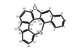 c1ccc2c(c1)cc1oc3ccc4sc5cccc6sc2c1c3c4c56